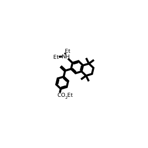 C=C(c1ccc(C(=O)OCC)cc1)c1cc2c(cc1C)C(C)(C)CCC2(C)C.CCNCC